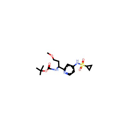 COCCC(NC(=O)OC(C)(C)C)c1cc(NS(=O)(=O)C2CC2)ccn1